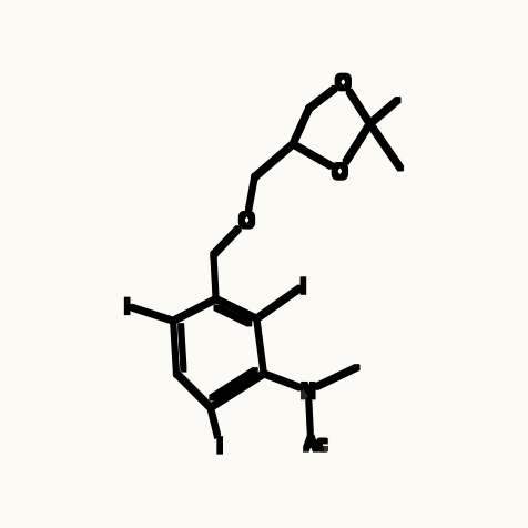 CC(=O)N(C)c1c(I)cc(I)c(COCC2COC(C)(C)O2)c1I